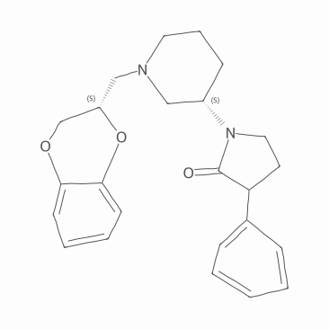 O=C1C(c2ccccc2)CCN1[C@H]1CCCN(C[C@H]2COc3ccccc3O2)C1